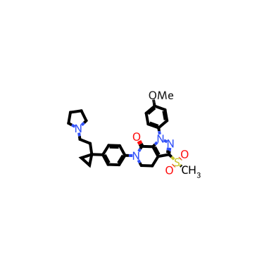 COc1ccc(-n2nc(S(C)(=O)=O)c3c2C(=O)N(c2ccc(C4(CCN5CCCC5)CC4)cc2)CC3)cc1